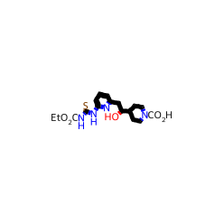 CCOC(=O)NC(=S)Nc1cccc(CC(O)C2CCN(C(=O)O)CC2)n1